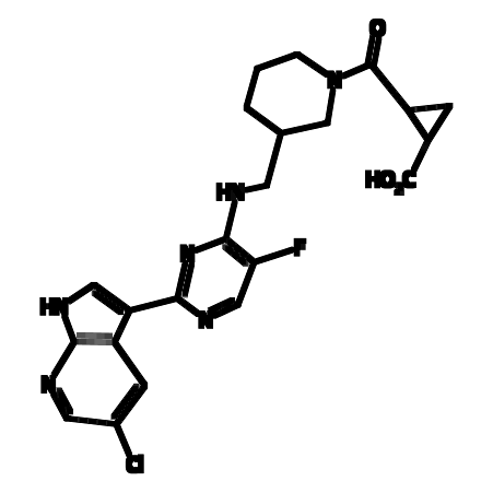 O=C(O)C1CC1C(=O)N1CCCC(CNc2nc(-c3c[nH]c4ncc(Cl)cc34)ncc2F)C1